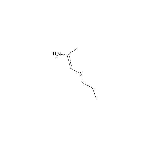 CCCS/C=C(\C)N